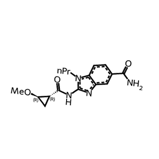 CCCn1c(NC(=O)[C@@H]2C[C@H]2OC)nc2cc(C(N)=O)ccc21